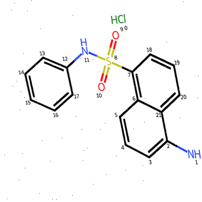 Cl.Nc1cccc2c(S(=O)(=O)Nc3ccccc3)cccc12